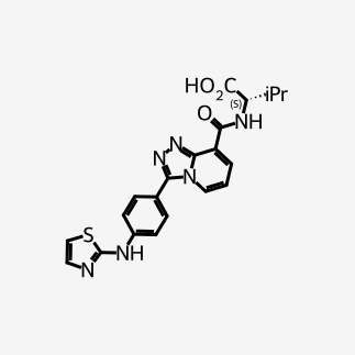 CC(C)[C@H](NC(=O)c1cccn2c(-c3ccc(Nc4nccs4)cc3)nnc12)C(=O)O